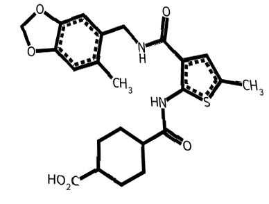 Cc1cc(C(=O)NCc2cc3c(cc2C)OCO3)c(NC(=O)C2CCC(C(=O)O)CC2)s1